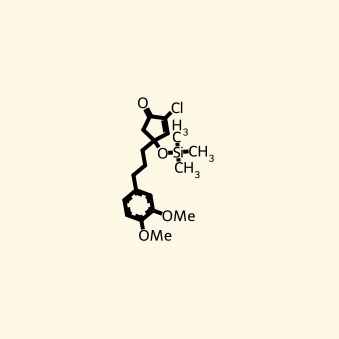 COc1ccc(CCCC2(O[Si](C)(C)C)C=C(Cl)C(=O)C2)cc1OC